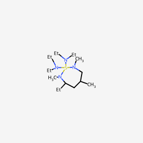 CCC1CC(C)CN(C)S(N(CC)CC)(N(CC)CC)N1C